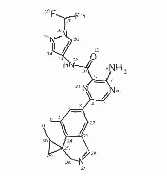 Cc1cc(-c2cnc(N)c(C(=O)Nc3cnn(C(F)F)c3)n2)cc2c1C1(CN=C2)CC1C